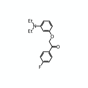 CCN(CC)c1cccc(OCC(=O)c2ccc(F)cc2)c1